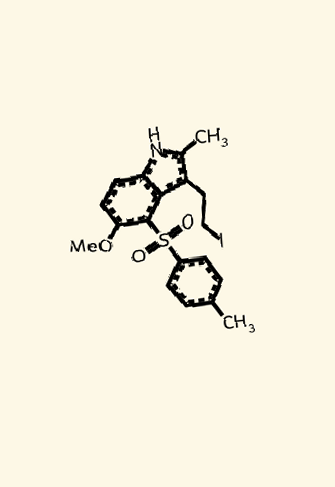 COc1ccc2[nH]c(C)c(CCI)c2c1S(=O)(=O)c1ccc(C)cc1